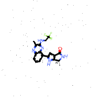 Cc1nc2cccc(-c3cc4c([nH]3)[C@@H](C)NC4=O)c2nc1NCC(F)(F)F